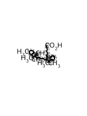 Cc1ccc2c(c1)C(C)(C)C(/C=C/C=C/C=C1\N(CCCCCC(=O)O)c3ccccc3C1(C)C)=[N+]2C